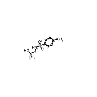 Cc1ccc(S(=O)(=O)NCC(C)O)cc1